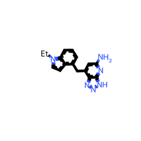 CCn1ccc2c(Cc3cc(N)nc4[nH]nnc34)cccc21